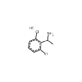 CC(N)c1c(Cl)cccc1Cl.Cl